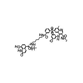 COc1cccc(Nc2c(C(N)=O)cnc3c(C)cc(S(=O)(=O)c4cccc(C(=O)NCCCCCCNC[C@H](O[Si](C)(C)C(C)(C)C)c5ccc(O)c6[nH]c(=O)ccc56)c4)cc23)c1